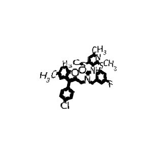 CSc1cc(C)nc(SC)c1NC(=O)N(Cc1cccc(F)c1)Cc1oc2ccc(C)cc2c1-c1ccc(Cl)cc1